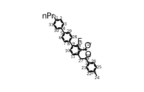 CCCc1ccc(-c2ccc(-c3ccc4c(c3F)C(=O)OC(c3ccc(C)cc3)C4)cc2)cc1